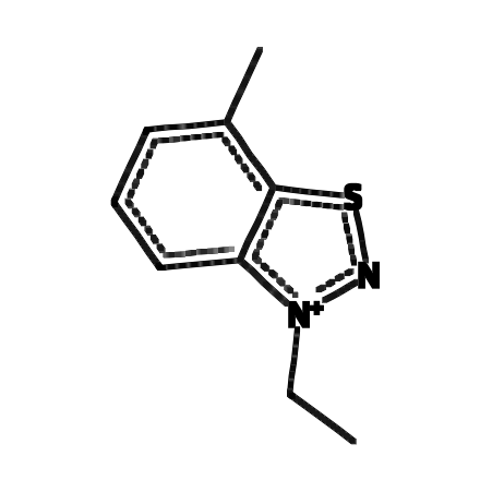 CC[n+]1nsc2c(C)cccc21